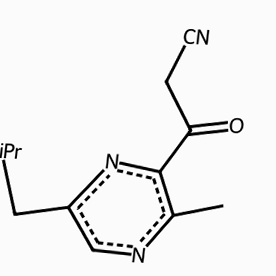 Cc1ncc(CC(C)C)nc1C(=O)CC#N